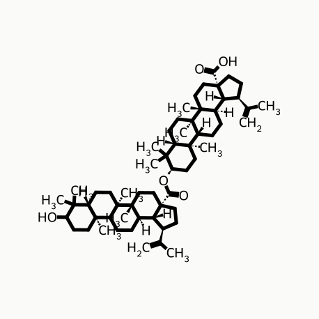 C=C(C)[C@@H]1CC[C@]2(C(=O)O[C@H]3CC[C@]4(C)[C@H]5CC[C@@H]6[C@H]7[C@H](C(=C)C)CC[C@]7(C(=O)O)CC[C@@]6(C)[C@]5(C)CC[C@H]4C3(C)C)CC[C@]3(C)[C@H](CCC4[C@@]5(C)CCC(O)C(C)(C)[C@@H]5CC[C@]43C)[C@@H]12